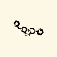 O[C@@H]1CN(Cc2ccccn2)CC[C@H]1N1CCN(c2ccccn2)CC1